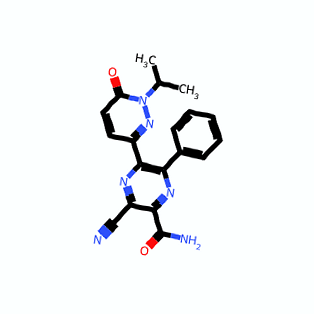 CC(C)n1nc(-c2nc(C#N)c(C(N)=O)nc2-c2ccccc2)ccc1=O